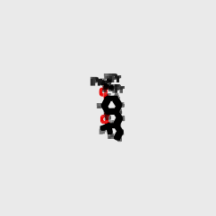 C=CC1=Cc2c[c]c(O[Si](C(C)C)(C(C)C)C(C)C)cc2OC1(C)C